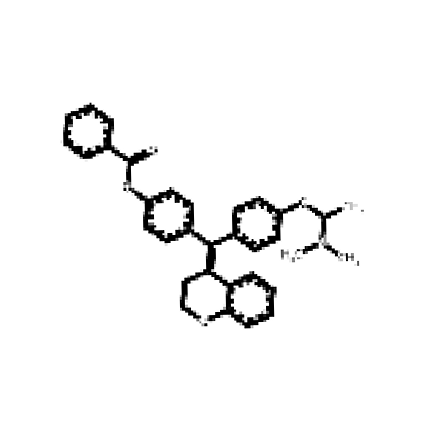 CC(Oc1ccc(/C(=C2/CCOc3ccccc32)c2ccc(OC(=O)c3ccccc3)cc2)cc1)N(C)C